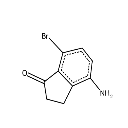 Nc1ccc(Br)c2c1CCC2=O